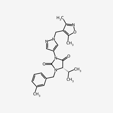 Cc1cccc(CN2C(=O)N(c3cnn(Cc4c(C)noc4C)c3)C(=O)[C@@H]2C(C)C)c1